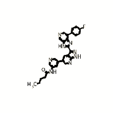 CCCCC(=O)Nc1cncc(-c2cnc3[nH]nc(-c4nc5c(-c6ccc(F)cc6)cncc5[nH]4)c3c2)c1